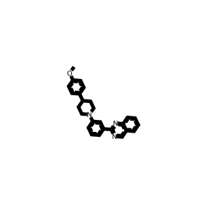 COc1ccc(C2CCN(c3cccc(-c4ncc5ccccc5n4)c3)CC2)cc1